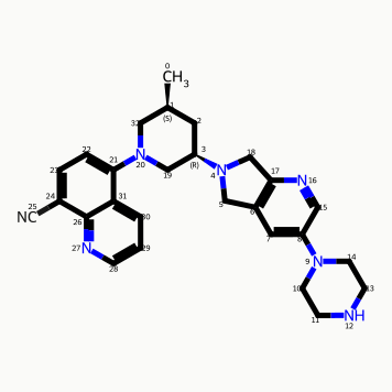 C[C@H]1C[C@@H](N2Cc3cc(N4CCNCC4)cnc3C2)CN(c2ccc(C#N)c3ncccc23)C1